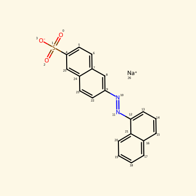 O=S(=O)([O-])c1ccc2cc(N=Nc3cccc4ccccc34)ccc2c1.[Na+]